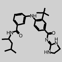 CC(C)CC(C)NC(=O)c1cccc(Nc2ccc(C(=O)N=C3NCCN3)cc2C(C)(C)C)c1